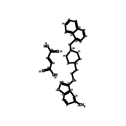 Cc1ccc2onc(OCCC3CCN(Cc4cccc5ccccc45)CC3)c2c1.O=C(O)C=CC(=O)O